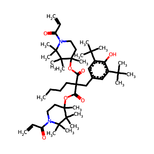 C=CC(=O)N1CCC(C)(OC(=O)C(CCCC)(Cc2cc(C(C)(C)C)c(O)c(C(C)(C)C)c2)C(=O)OC2(C)CCN(C(=O)C=C)C(C)(C)C2(C)C)C(C)(C)C1(C)C